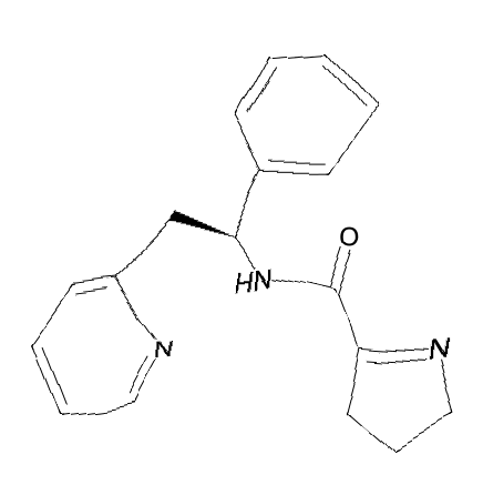 O=C(N[C@@H](Cc1ccccn1)c1ccccc1)C1=NCCC1